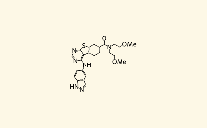 COCCN(CCOC)C(=O)C1CCc2c(sc3ncnc(Nc4ccc5[nH]ncc5c4)c23)C1